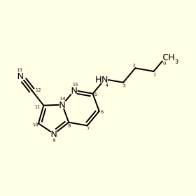 CCCCNc1ccc2ncc(C#N)n2n1